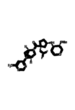 CO[C@@H]1COCC[C@@H]1N[C@@H]1CC[C@](CC(F)F)(C(=O)N2C[C@@H]3C[C@H]2CN3c2cc(C(F)(F)F)ncn2)C1